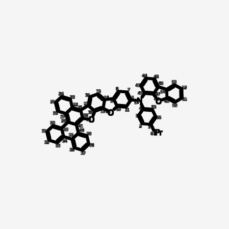 CC(C)c1ccc(N(c2ccc3c(c2)oc2c3ccc3c2oc2c3c3ccccc3c3c4ccccc4c4ccccc4c23)c2cccc3c2oc2ccccc23)cc1